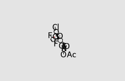 CC(=O)OC1CN(S(=O)(=O)CC2CCC(c3cc(F)ccc3F)(S(=O)(=O)c3ccc(Cl)cc3)CC2)C1